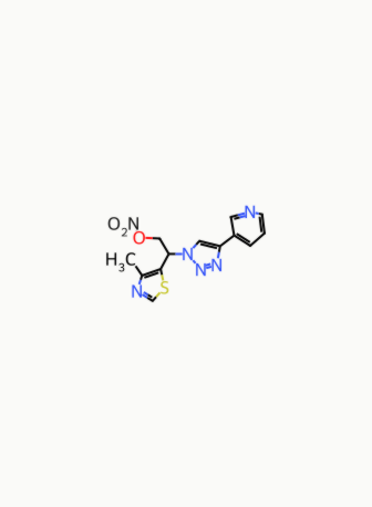 Cc1ncsc1C(CO[N+](=O)[O-])n1cc(-c2cccnc2)nn1